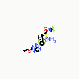 C#CCOc1cnc2c(Nc3ccc(F)c([C@@]4(CF)N=C(N)S[C@@]5(C=CC(=O)N6CC(F)(F)C6)C[C@H]54)c3)nccc2n1